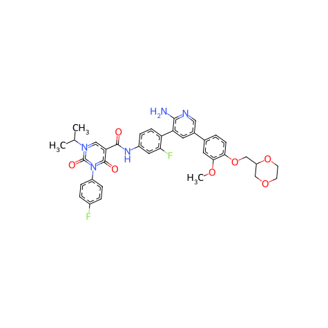 COc1cc(-c2cnc(N)c(-c3ccc(NC(=O)c4cn(C(C)C)c(=O)n(-c5ccc(F)cc5)c4=O)cc3F)c2)ccc1OCC1COCCO1